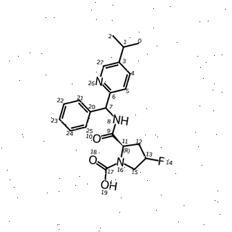 CC(C)c1ccc(C(NC(=O)[C@H]2CC(F)CN2C(=O)O)c2ccccc2)nc1